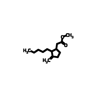 C=C1CCC(CC(=O)OC)C1CCCCC